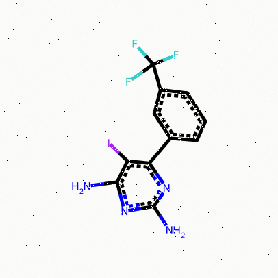 Nc1nc(N)c(I)c(-c2cccc(C(F)(F)F)c2)n1